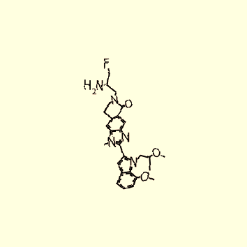 COc1cccc2cc(-c3nc4cc5c(cc4n3C)CCN(C[C@H](N)CF)C5=O)n(CC(C)OC)c12